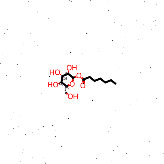 CCCCCCC(=O)OC1O[C@H](CO)[C@@H](O)[C@H](O)[C@H]1O